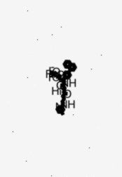 Cc1ccnc(NCCCC(=O)NCC(=O)NC(CC(=O)OC(=O)C(F)(F)F)c2ccc(-c3cccc4ccccc34)cc2)c1